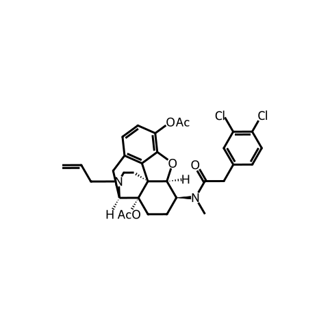 C=CCN1CC[C@]23c4c5ccc(OC(C)=O)c4O[C@H]2[C@@H](N(C)C(=O)Cc2ccc(Cl)c(Cl)c2)CC[C@@]3(OC(C)=O)[C@H]1C5